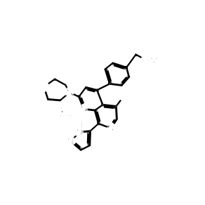 COCc1ccc(-c2cc(N3CCOC[C@H]3C)nc3c(-c4ccn[nH]4)ncc(C)c23)cc1